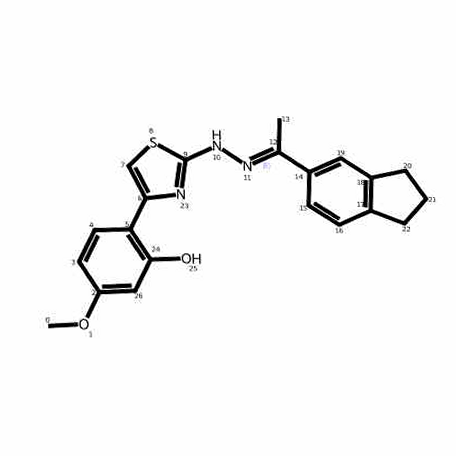 COc1ccc(-c2csc(N/N=C(\C)c3ccc4c(c3)CCC4)n2)c(O)c1